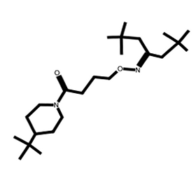 CC(C)(C)CC(CC(C)(C)C)=NOCCCC(=O)N1CCC(C(C)(C)C)CC1